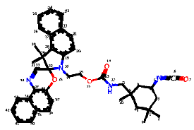 CC1(C)CC(N=C=O)CC(C)(CNC(=O)OCCN2c3ccc4ccccc4c3C(C)(C)C23C=Nc2c(ccc4ccccc24)O3)C1